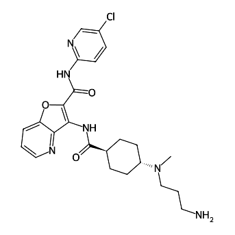 CN(CCCN)[C@H]1CC[C@H](C(=O)Nc2c(C(=O)Nc3ccc(Cl)cn3)oc3cccnc23)CC1